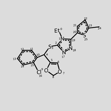 CCn1c(SC(C2=COCO2)c2ccccc2Cl)nnc1-c1ccc(C)s1